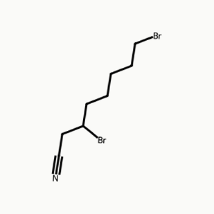 N#CCC(Br)CCCCCBr